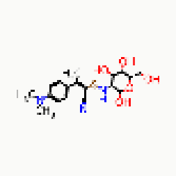 C/C(=C(/C#N)SN[C@H]1C(O)O[C@H](CO)[C@@H](O)[C@@H]1O)c1ccc(N(C)C)cc1